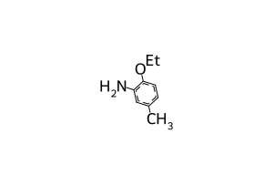 CCOc1ccc(C)cc1N